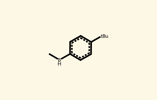 CBc1ccc(C(C)(C)C)cc1